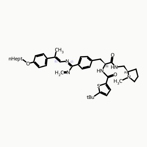 C=N/C(=N\C=C(/C)c1ccc(OCCCCCCC)cc1)c1ccc(C[C@H](NC(=O)c2ccc(C(C)(C)C)s2)C(=O)NC[C@H]2CCCN2C)cc1